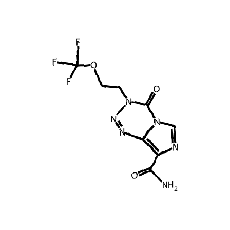 NC(=O)c1ncn2c(=O)n(CCOC(F)(F)F)nnc12